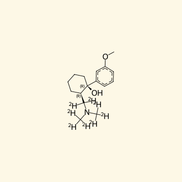 [2H]C([2H])([2H])N(C([2H])([2H])[2H])C([2H])([2H])[C@H]1CCCC[C@]1(O)c1cccc(OC)c1